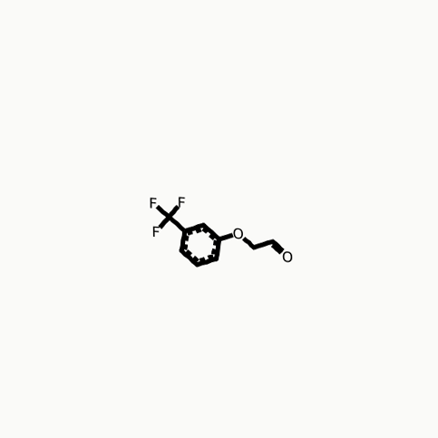 O=CCOc1cccc(C(F)(F)F)c1